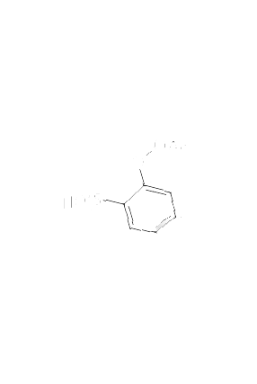 CC(=O)OOc1ccccc1S(=O)(=O)O